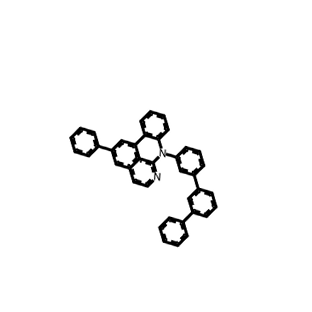 c1ccc(-c2cccc(-c3cccc(N4c5ccccc5-c5cc(-c6ccccc6)cc6ccnc4c56)c3)c2)cc1